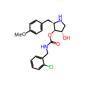 COc1ccc(C[C@H]2NC[C@H](O)[C@H]2OC(=O)NCc2ccccc2Cl)cc1